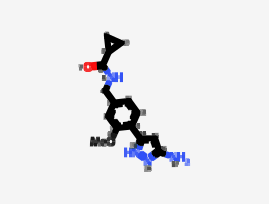 COc1cc(CNC(=O)C2CC2)ccc1-c1cc(N)n[nH]1